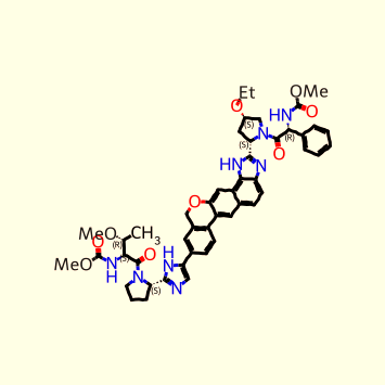 CCO[C@H]1C[C@@H](c2nc3ccc4cc5c(cc4c3[nH]2)OCc2cc(-c3cnc([C@@H]4CCCN4C(=O)[C@@H](NC(=O)OC)[C@@H](C)OC)[nH]3)ccc2-5)N(C(=O)[C@H](NC(=O)OC)c2ccccc2)C1